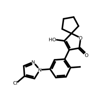 Cc1ccc(-n2cc(Cl)cn2)cc1C1=C(O)C2(CCCC2)OC1=O